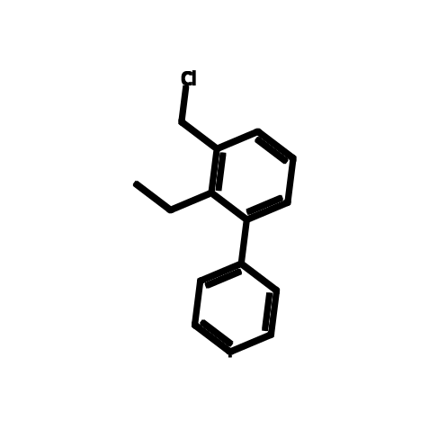 CCc1c(CCl)cccc1-c1cc[c]cc1